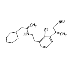 C=C(CC1CCCCC1)NCCc1cccc(C(=C)CC(C)(C)C)c1CC